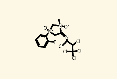 C[N+]1([O-])C[N+]([O-])(c2ccccc2F)CC1=NC(Cl)C(Cl)C(Cl)(Cl)Cl